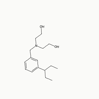 CCC(CC)c1cccc(CN(CCO)CCO)c1